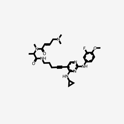 COc1ccc(Nc2ncc(C#CCCCNC(=O)C(C)N(C)C(=O)C=CCN(C)C)c(NC3CC3)n2)cc1F